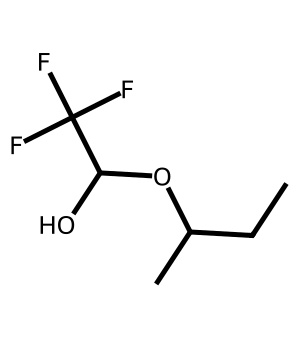 CCC(C)OC(O)C(F)(F)F